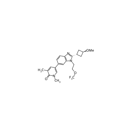 CO[C@H]1C[C@H](c2nc3ccc(-c4cc(C)c(=O)n(C)c4)cc3n2CCOC(F)(F)F)C1